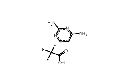 Nc1ccnc(N)n1.O=C(O)C(F)(F)F